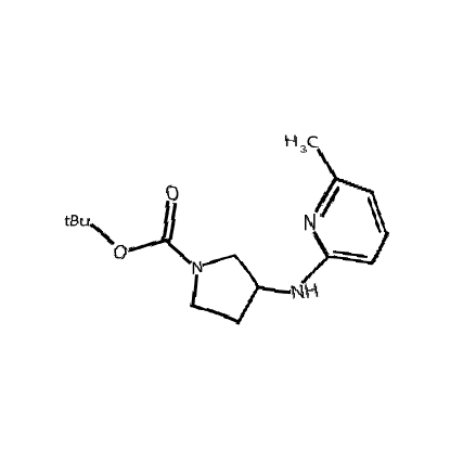 Cc1cccc(NC2CCN(C(=O)OC(C)(C)C)C2)n1